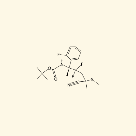 CSC(C)(C#N)CC(F)(F)[C@](C)(NC(=O)OC(C)(C)C)c1ccccc1F